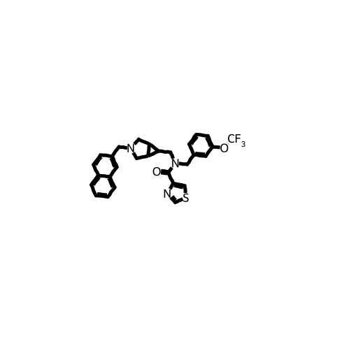 O=C(c1cscn1)N(Cc1cccc(OC(F)(F)F)c1)CC1C2CN(Cc3ccc4ccccc4c3)CC21